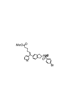 COC(=O)CCCC=C(c1cccnc1)c1ccc2c(c1)CC(NS(=O)(=O)c1ccc(Br)cc1)C2